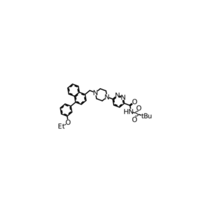 CCOc1cccc(-c2ccc(CN3CCN(c4ccc(C(=O)NS(=O)(=O)C(C)(C)C)nn4)CC3)c3ccccc23)c1